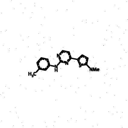 CNc1ccc(-c2ccnc(Nc3cccc(C)c3)n2)s1